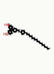 CCCCCCCCCCCCCCCCCCC[C@H]1CC[C@H](CCC2CCC(c3ccc(O)cc3)(c3ccc(O)cc3)CC2)CC1